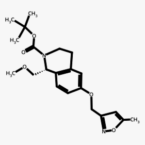 COC[C@H]1c2ccc(OCc3cc(C)on3)cc2CCN1C(=O)OC(C)(C)C